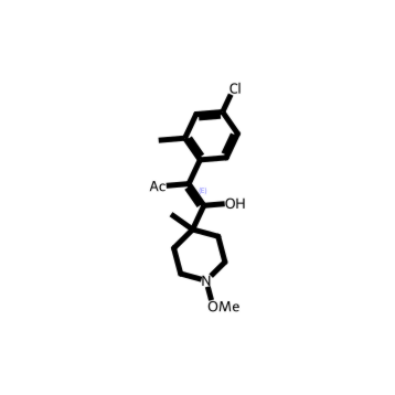 CON1CCC(C)(/C(O)=C(\C(C)=O)c2ccc(Cl)cc2C)CC1